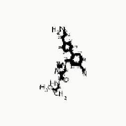 CC(C)CNC(=O)c1cn(Cc2cc(C#N)ccc2-c2ccc(CCN)cc2)cn1